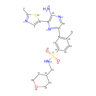 Cc1ncc(-c2nc(-c3cc(S(=O)(=O)NCC4CCOCC4)ccc3C)cnc2N)s1